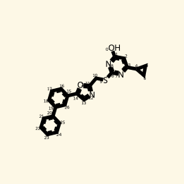 Oc1cc(C2CC2)nc(SCc2ncc(-c3cccc(-c4ccccc4)c3)o2)n1